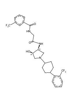 O=C(CNC(=O)c1cccc(C(F)(F)F)c1)N[C@H]1CN(C2CCC(c3ccccc3C(F)(F)F)CC2)C[C@H]1O